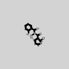 NN(C(=O)c1ccccc1F)C(=O)c1cccnc1Cl